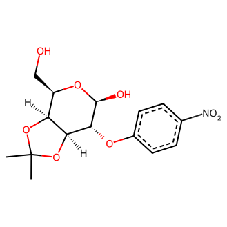 CC1(C)O[C@@H]2[C@@H](Oc3ccc([N+](=O)[O-])cc3)[C@H](O)O[C@H](CO)[C@@H]2O1